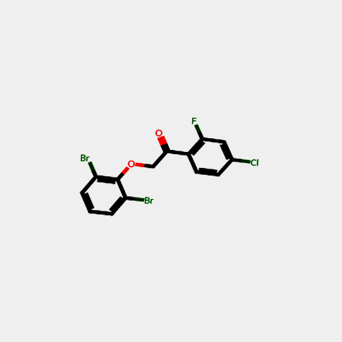 O=C(COc1c(Br)cccc1Br)c1ccc(Cl)cc1F